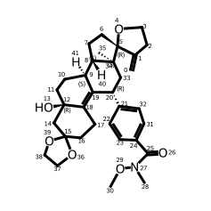 C=C1CCO[C@]12CC[C@H]1[C@@H]3CC[C@@]4(O)CC5(CCC4=C3[C@@H](c3ccc(C(=O)N(C)OC)cc3)C[C@@]12C)OCCO5